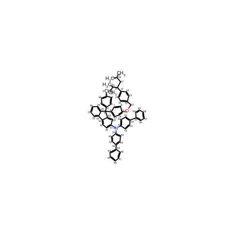 Cc1ccc(C2(c3ccc(OCc4ccc(C(CC(C)C)C(C)C)cc4)cc3)c3ccccc3-c3ccc(N(c4ccc(-c5ccccc5)cc4)c4ccc(-c5ccccc5)cc4)cc32)cc1